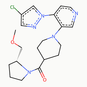 COC[C@H]1CCCN1C(=O)C1CCN(c2cnccc2-n2cc(Cl)cn2)CC1